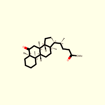 COC(=O)CC[C@@H](C)[C@H]1CC[C@H]2[C@@H]3CC(=O)[C@@H]4CCCC[C@]4(C)[C@H]3CC[C@]12C